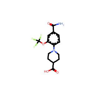 NC(=O)c1ccc(N2CCC(C(=O)O)CC2)c(OC(F)(F)F)c1